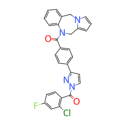 O=C(c1ccc(-c2ccn(C(=O)c3ccc(F)cc3Cl)n2)cc1)N1Cc2cccn2Cc2ccccc21